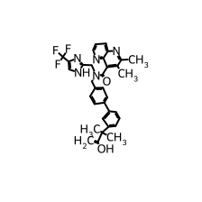 C=C(O)C(C)(C)c1cccc(-c2ccc(CN(Cc3nc(C(F)(F)F)c[nH]3)C(=O)c3c(C)c(C)nc4cccnc34)cc2)c1